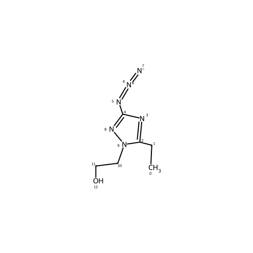 CCc1nc(N=[N+]=[N-])nn1CCO